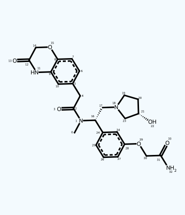 CN(C(=O)Cc1ccc2c(c1)NC(=O)CO2)[C@H](CN1CC[C@H](O)C1)c1cccc(OCC(N)=O)c1